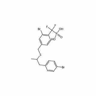 CC(Cc1ccc(Br)cc1)SCc1ccc(C(F)(F)P(=O)(O)O)c(Br)c1